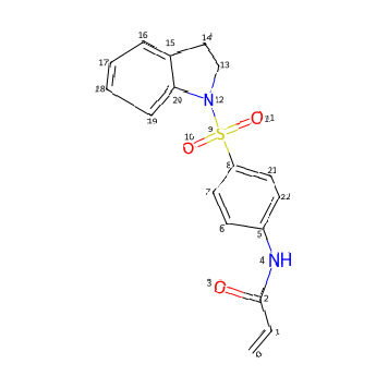 C=CC(=O)Nc1ccc(S(=O)(=O)N2CCc3ccccc32)cc1